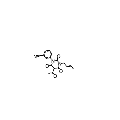 CC=CCN1C(=O)C(C(C)=O)C(=O)N(c2cccc(C#N)c2)C1=O